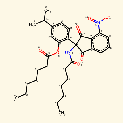 CCCCCCC(=O)NC1(c2ccc(C(C)C)cc2OC(=O)CCCCCC)C(=O)c2cccc([N+](=O)[O-])c2C1=O